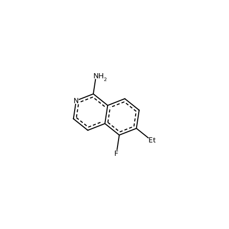 CCc1ccc2c(N)nccc2c1F